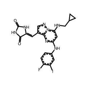 O=C1NC(=O)/C(=C/c2cnn3c(NCC4CC4)cc(Nc4ccc(F)c(I)c4)nc23)N1